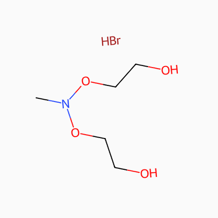 Br.CN(OCCO)OCCO